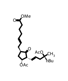 CCCC[C@@](C)(CC=C[C@H]1C(=O)[C@H](CC=CCCCC(=O)OC)C[C@H]1OC(C)=O)OC(C)=O